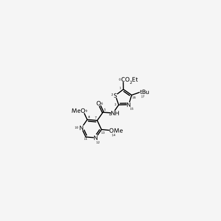 CCOC(=O)c1sc(NC(=O)c2c(OC)ncnc2OC)nc1C(C)(C)C